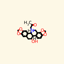 CC(=O)CN1Cc2c(ccc3c2OCO3)[C@@H]2[C@H]1c1cc3c(cc1C[C@@H]2O)OCO3